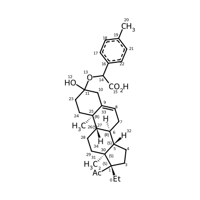 CC[C@]1(C(C)=O)CC[C@H]2[C@@H]3CC=C4CC(O)(OC(C(=O)O)c5ccc(C)cc5)CC[C@]4(C)[C@H]3CC[C@@]21C